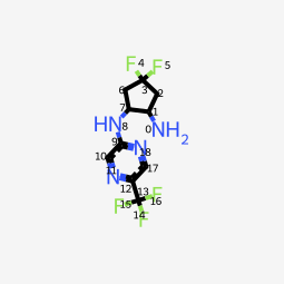 NC1CC(F)(F)CC1Nc1cnc(C(F)(F)F)cn1